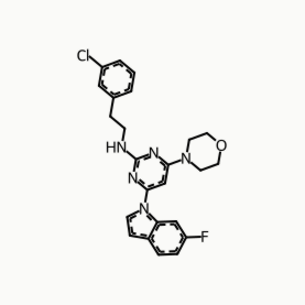 Fc1ccc2ccn(-c3cc(N4CCOCC4)nc(NCCc4cccc(Cl)c4)n3)c2c1